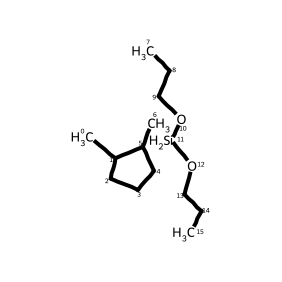 CC1CCCC1C.CCCO[SiH2]OCCC